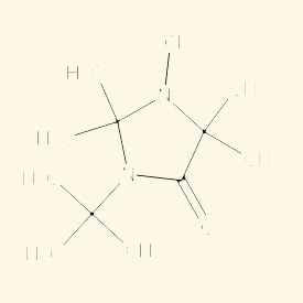 CC(C)(C)N1C(=O)C(C)(C)N(Cl)C1(C)C